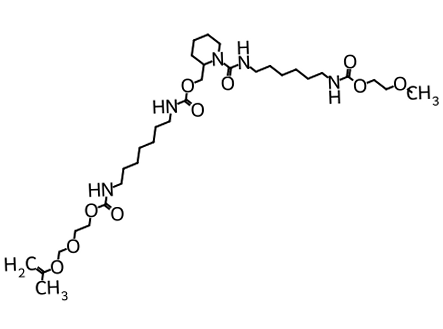 C=C(C)OCOCCOC(=O)NCCCCCCCNC(=O)OCC1CCCCN1C(=O)NCCCCCCNC(=O)OCCOC